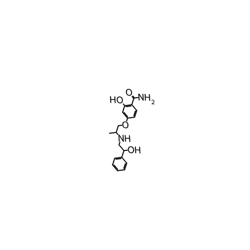 CC(COc1ccc(C(N)=O)c(O)c1)NCC(O)c1ccccc1